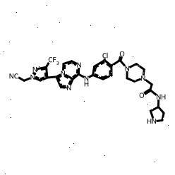 N#CCn1cc(-c2cnc3c(Nc4ccc(C(=O)N5CCN(CC(=O)NC6CCNC6)CC5)c(Cl)c4)nccn23)c(C(F)(F)F)n1